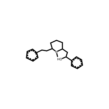 CN1C(CCc2ccccc2)CCCC1CC(O)c1ccccc1